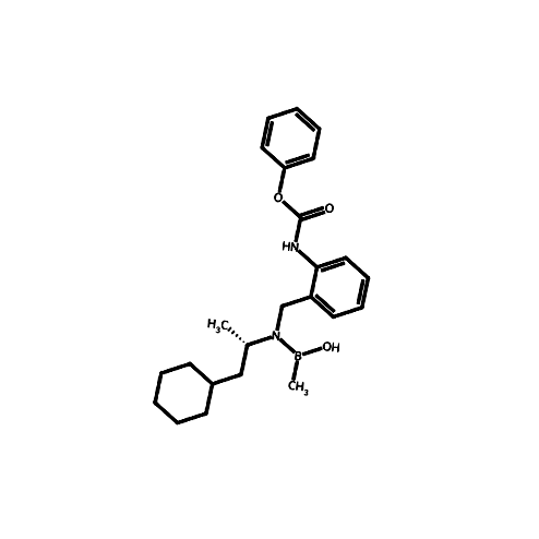 CB(O)N(Cc1ccccc1NC(=O)Oc1ccccc1)[C@@H](C)CC1CCCCC1